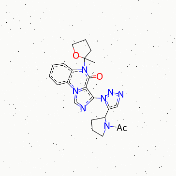 CC(=O)N1CCCC1c1cnnn1-c1ncn2c1c(=O)n(C1(C)CCCO1)c1ccccc12